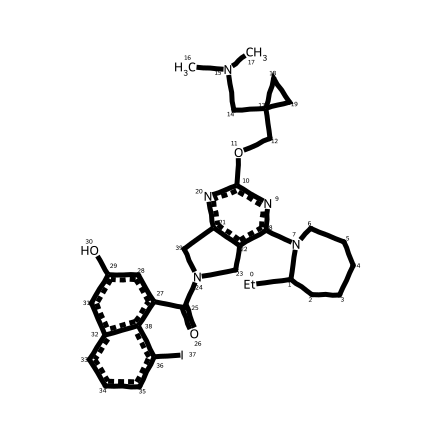 CCC1CCCCCN1c1nc(OCC2(CN(C)C)CC2)nc2c1CN(C(=O)c1cc(O)cc3cccc(I)c13)C2